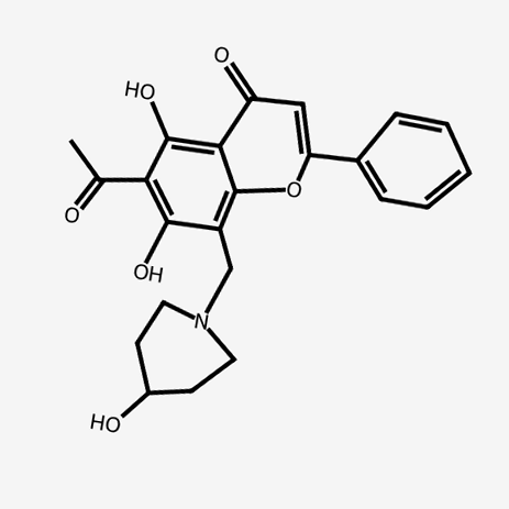 CC(=O)c1c(O)c(CN2CCC(O)CC2)c2oc(-c3ccccc3)cc(=O)c2c1O